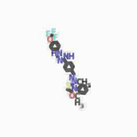 Cc1cccc(C)c1N1C(=O)CS/C1=N\N=C\c1ccc(C(=N)/N=C\Nc2ccc(OC(F)(F)F)cc2)cc1